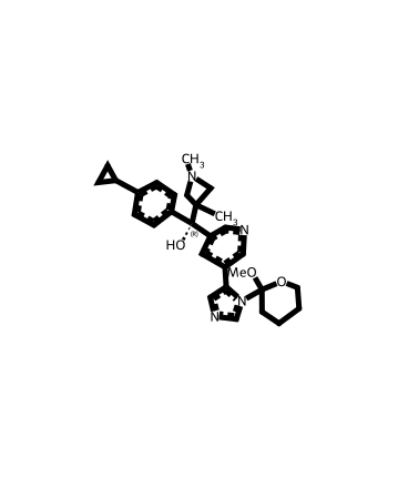 COC1(n2cncc2-c2cncc([C@@](O)(c3ccc(C4CC4)cc3)C3(C)CN(C)C3)c2)CCCCO1